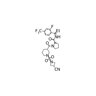 CC[C@@H](NC(=O)[C@H]1CCCN1C(=O)C1CCCN(S(=O)(=O)N2CC(C#N)C2)C1)c1ccc(C(F)(F)F)cc1F